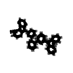 C1=Cc2c(c3ccccc3n2-c2cccc(-c3ccccc3-c3cccc(-n4c5ccccc5c5ncccc54)n3)n2)NC1